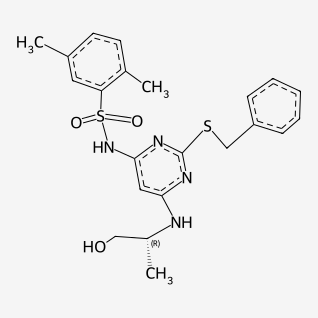 Cc1ccc(C)c(S(=O)(=O)Nc2cc(N[C@H](C)CO)nc(SCc3ccccc3)n2)c1